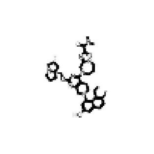 CCc1c(F)ccc2cc(O)cc(N3CCc4c(nc(OC[C@@]56CCCN5C[C@H](F)C6)nc4N4CCCn5nc(C(=O)N(C)C)nc5C4)C3)c12